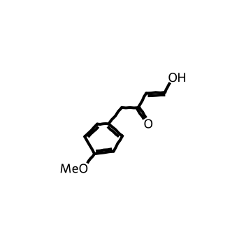 COc1ccc(CC(=O)C=CO)cc1